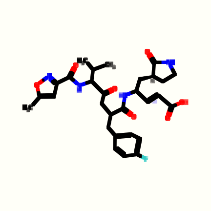 Cc1cc(C(=O)NC(C(=O)CC(Cc2ccc(F)cc2)C(=O)NC(/C=C/C(=O)O)C[C@@H]2CCNC2=O)C(C)C)no1